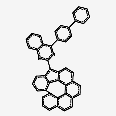 c1ccc(-c2ccc(-c3nc(-n4c5cccc6c5c5c7c(ccc8ccc9cccc-6c9c87)ccc54)nc4ccccc34)cc2)cc1